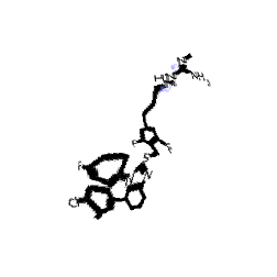 C/N=C(\N)N/N=C/CCc1cc(F)c(CSc2nc3c(n2-c2ccc(F)cc2)C(c2ccc(Cl)c(C)c2)CCC3)c(F)c1